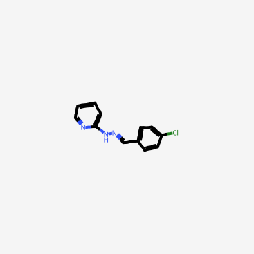 Clc1ccc(C=NNc2ccccn2)cc1